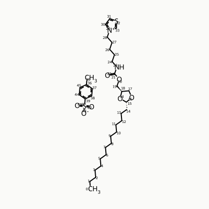 CCCCCCCCCCCCCCC[C@H]1OC[C@H](COC(=O)NCCCCC[n+]2ccsc2)O1.Cc1ccc(S(=O)(=O)[O-])cc1